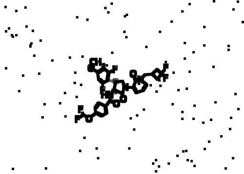 COc1cc(F)c([C@@H]2CN(c3cccn(CC4CC(F)(F)C4)c3=O)C(=O)[C@H]2NC(=O)c2ccc(OC(F)F)cc2)c(F)c1